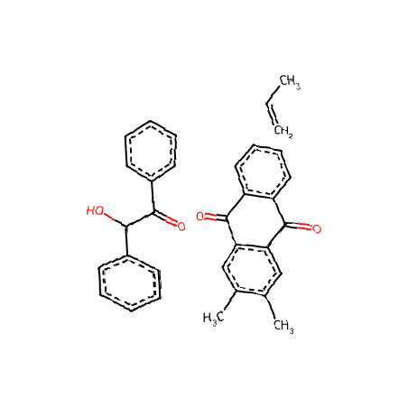 C=CC.Cc1cc2c(cc1C)C(=O)c1ccccc1C2=O.O=C(c1ccccc1)C(O)c1ccccc1